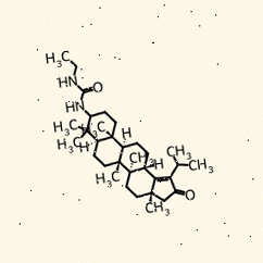 CCNC(=O)NC1CC[C@]2(C)[C@H]3CC[C@@H]4C5=C(C(C)C)C(=O)C[C@]5(C)CC[C@@]4(C)[C@]3(C)CC[C@H]2C1(C)C